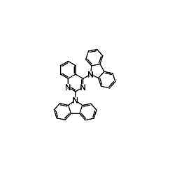 c1ccc2c(-n3c4ccccc4c4ccccc43)nc(-n3c4ccccc4c4ccccc43)nc2c1